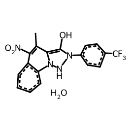 CC1=C([N+](=O)[O-])c2ccccc2N2NN(c3ccc(C(F)(F)F)cc3)C(O)=C12.O